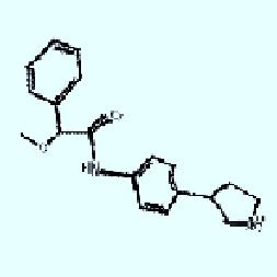 CO[C@H](C(=O)Nc1ccc(C2CCNC2)cc1)c1ccccc1